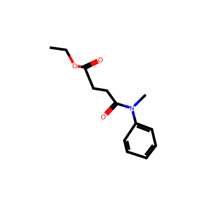 CCOC(=O)CCC(=O)N(C)c1ccccc1